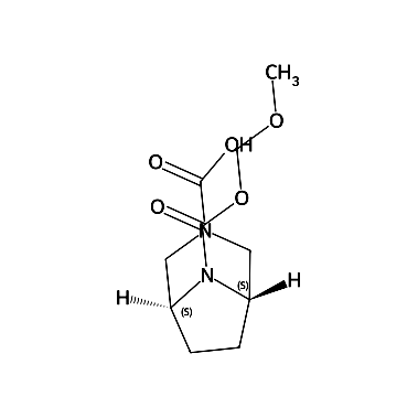 COCOC(=O)N1[C@H]2CC[C@H]1CN(C(=O)O)C2